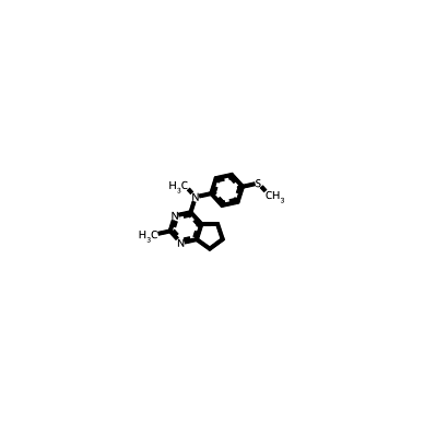 CSc1ccc(N(C)c2nc(C)nc3c2CCC3)cc1